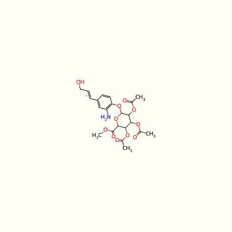 COC(=O)C1OC(Oc2ccc(/C=C/CO)cc2N)C(OC(C)=O)C(OC(C)=O)C1OC(C)=O